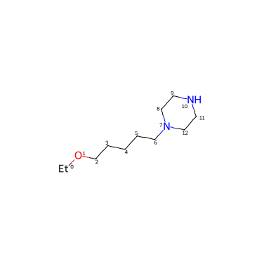 CCOCCCCCN1CCNCC1